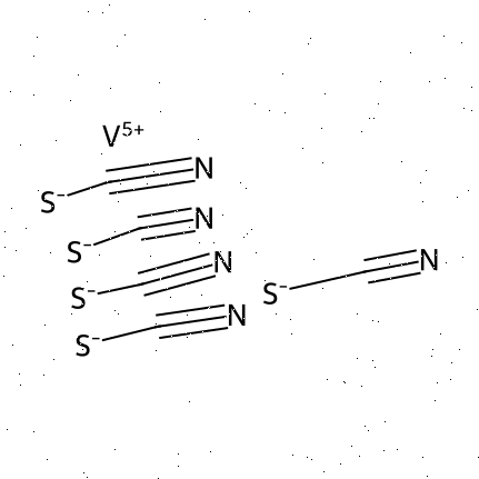 N#C[S-].N#C[S-].N#C[S-].N#C[S-].N#C[S-].[V+5]